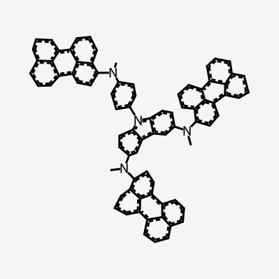 CN(c1ccc(-n2c3ccc(N(C)c4ccc5c6cccc7cccc(c8cccc4c85)c76)cc3c3cc(N(C)c4ccc5c6cccc7cccc(c8cccc4c85)c76)ccc32)cc1)c1ccc2c3cccc4cccc(c5cccc1c52)c43